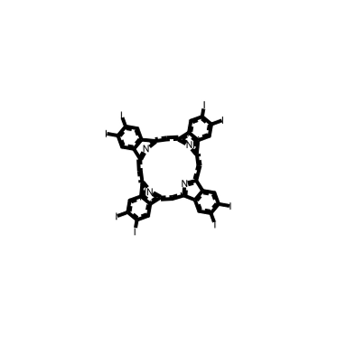 Ic1cc2c(cc1I)-c1cc3[nH]c(cc4nc(cc5[nH]c(cc-2n1)c1cc(I)c(I)cc51)-c1cc(I)c(I)cc1-4)c1cc(I)c(I)cc31